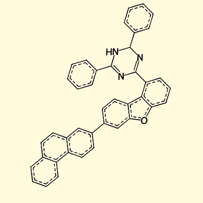 c1ccc(C2=NC(c3cccc4oc5cc(-c6ccc7c(ccc8ccccc87)c6)ccc5c34)=NC(c3ccccc3)N2)cc1